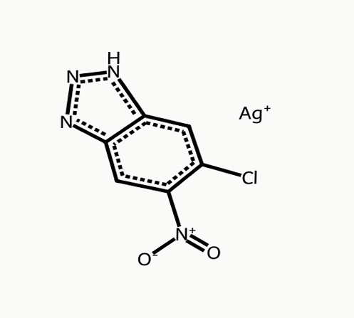 O=[N+]([O-])c1cc2nn[nH]c2cc1Cl.[Ag+]